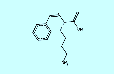 NCCCC[C@H](/N=C\c1ccccc1)C(=O)O